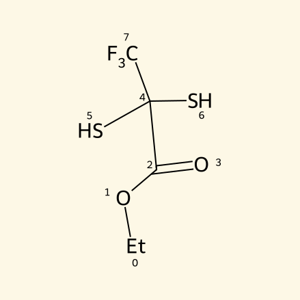 CCOC(=O)C(S)(S)C(F)(F)F